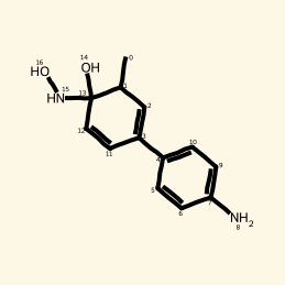 CC1C=C(c2ccc(N)cc2)C=CC1(O)NO